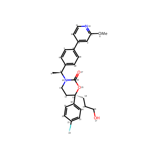 COc1cc(-c2ccc([C@H](C)N3CC[C@](CCCO)(c4ccc(F)cc4)OC3=O)cc2)ccn1